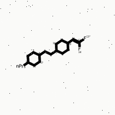 CCCC1CCC(CCC2CCC(C=C(F)F)CC2)CC1